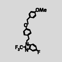 COc1ccc(CCOc2ccc(CCn3c(C(F)(F)F)nc4cc(F)ccc43)cc2)cc1